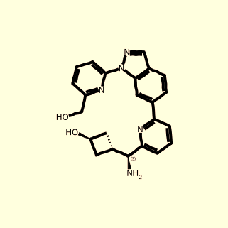 N[C@H](c1cccc(-c2ccc3cnn(-c4cccc(CO)n4)c3c2)n1)[C@H]1C[C@H](O)C1